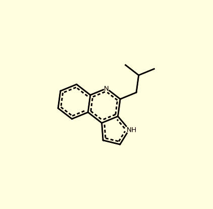 CC(C)Cc1nc2ccccc2c2cc[nH]c12